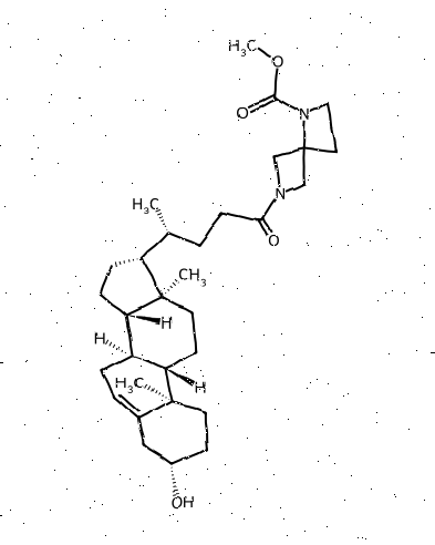 COC(=O)N1CCC12CN(C(=O)CC[C@@H](C)[C@H]1CC[C@H]3[C@@H]4CC=C5C[C@@H](O)CC[C@]5(C)[C@H]4CC[C@]13C)C2